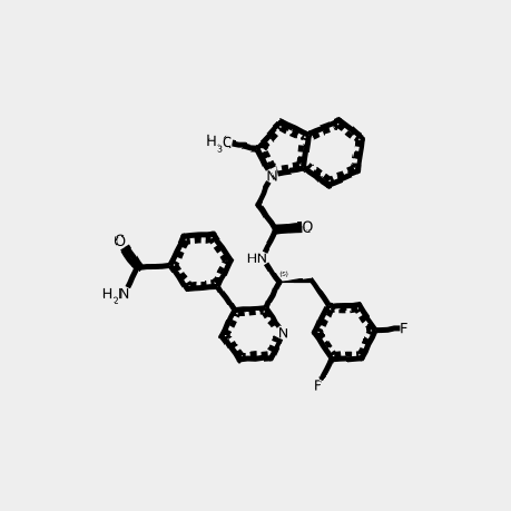 Cc1cc2ccccc2n1CC(=O)N[C@@H](Cc1cc(F)cc(F)c1)c1ncccc1-c1cccc(C(N)=O)c1